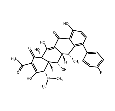 C[C@H]1c2c(-c3ccc(F)cc3)ccc(O)c2C(=O)C2=C(O)[C@]3(O)C(=O)C(C(N)=O)=C(O)[C@@H](N(C)C)[C@H]3[C@@H](O)[C@H]21